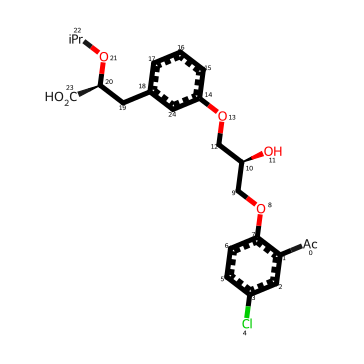 CC(=O)c1cc(Cl)ccc1OC[C@H](O)COc1cccc(C[C@H](OC(C)C)C(=O)O)c1